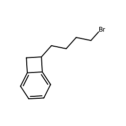 BrCCCCC1Cc2ccccc21